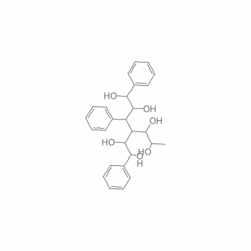 CC(O)C(O)C(C(O)C(O)c1ccccc1)C(c1ccccc1)C(O)C(O)c1ccccc1